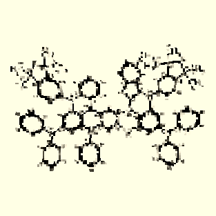 Cc1ccc2sc3c(c2c1)N(c1ccc2c(c1)C(C)(C)CC2(C)C)c1cc(N(c2ccccc2)c2ccccc2)cc2c1B3c1cc3c(cc1O2)N(c1ccccc1)c1cc(N(c2ccccc2)c2ccccc2)cc2c1B3c1ccccc1N2c1ccc2c(c1)C(C)(C)CC2(C)C